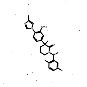 COc1cc(C2(C)CCCN([C@@H](C)c3cc(F)ccc3F)C2=O)ccc1-n1cnc(C)c1